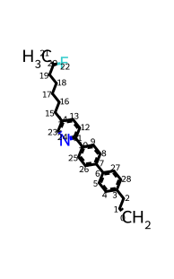 C=CCc1ccc(-c2ccc(-c3ccc(CCCCCC(C)F)cn3)cc2)cc1